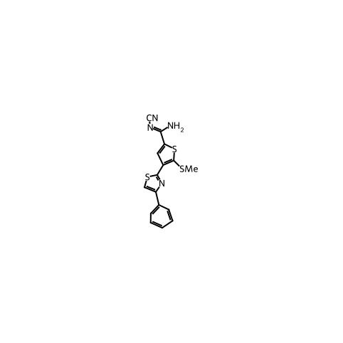 CSc1sc(C(N)=NC#N)cc1-c1nc(-c2ccccc2)cs1